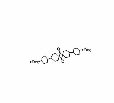 CCCCCCCCCCC1CCC(C2CCC3(CC2)C(=O)C2(CCC(C4CCC(CCCCCCCCCC)CC4)CC2)C3=O)CC1